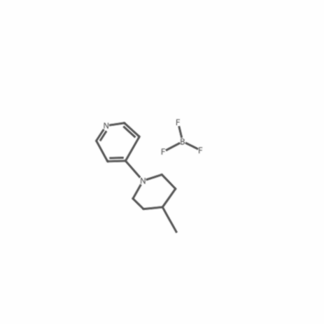 CC1CCN(c2ccncc2)CC1.FB(F)F